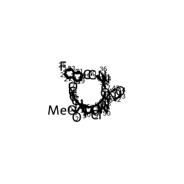 COC(=O)c1c(C)c2c3c(Cl)ccc2n1CCCOc1cc(cc2cc(F)ccc12)CCc1cc(nn1C)COC(CN1CCOCC1)c1nn(C)c(C)c1-3